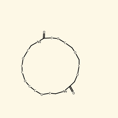 O=C1COCCOCCOCC(=O)NCCOCCOCCOCCN1